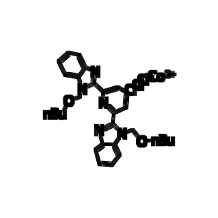 CCCCOCn1c(-c2cccc(-c3nc4ccccc4n3COCCCC)n2)nc2ccccc21.[Cl-].[Cl-].[Cl-].[Co+3]